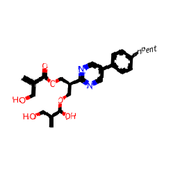 C=C(CO)C(=O)OCC(COC(O)C(=C)CO)c1ncc(-c2ccc(CCCCC)cc2)cn1